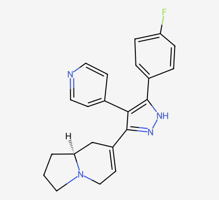 Fc1ccc(-c2[nH]nc(C3=CCN4CCC[C@H]4C3)c2-c2ccncc2)cc1